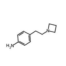 Nc1ccc(CCN2CCC2)cc1